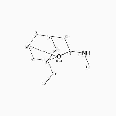 CCC12CC3CC(C1)CC(NC)(C3)O2